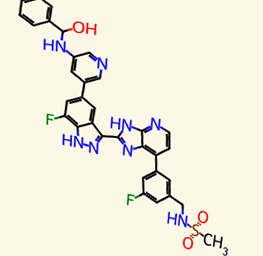 CS(=O)(=O)NCc1cc(F)cc(-c2ccnc3[nH]c(-c4n[nH]c5c(F)cc(-c6cncc(NC(O)c7ccccc7)c6)cc45)nc23)c1